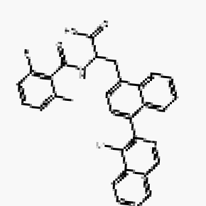 O=C(NC(Cc1ccc(-c2ncc3ccccc3c2Br)c2ccccc12)C(=O)O)c1c(F)cccc1F